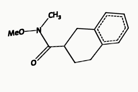 CON(C)C(=O)C1CCc2ccccc2C1